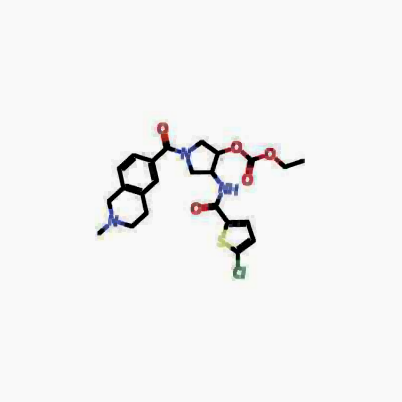 CCOC(=O)OC1CN(C(=O)c2ccc3c(c2)CCN(C)C3)CC1NC(=O)c1ccc(Cl)s1